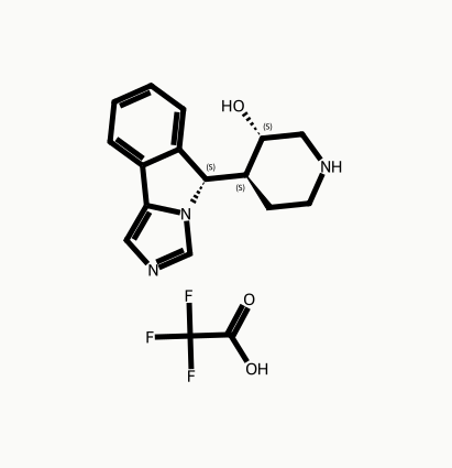 O=C(O)C(F)(F)F.O[C@@H]1CNCC[C@H]1[C@H]1c2ccccc2-c2cncn21